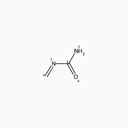 C=NC(N)=O